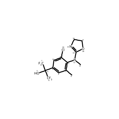 Cc1cc(C(O)(C(F)(F)F)C(F)(F)F)cc(Cl)c1N(C)C1=NCCO1